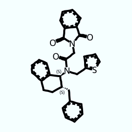 O=C1c2ccccc2C(=O)N1CC(=O)N(Cc1cccs1)[C@@H]1c2ccccc2CC[C@H]1Cc1ccccc1